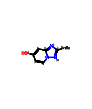 CCCCc1nc2cc(O)ccn2n1